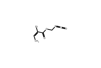 CC=C(CC)C(=O)OCN=C=O